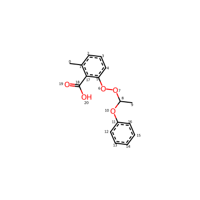 Cc1cccc(OOC(C)Oc2ccccc2)c1C(=O)O